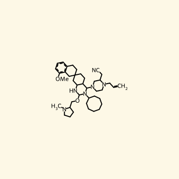 C=CCN1CCN(C2C3CCC4(CCc5cccc(OC)c5C4)CC3NC(OCC3CCCN3C)N2C2CCCCCCC2)CC1CC#N